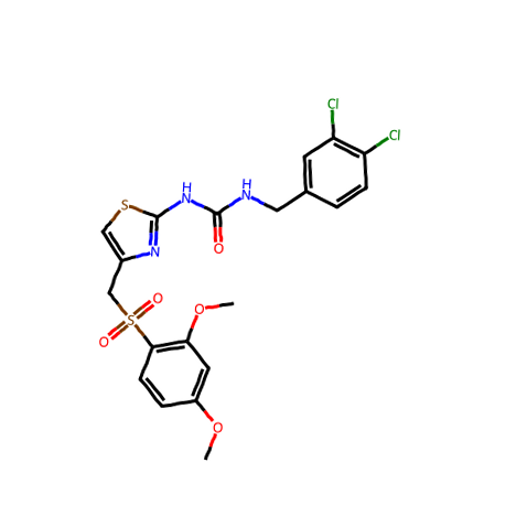 COc1ccc(S(=O)(=O)Cc2csc(NC(=O)NCc3ccc(Cl)c(Cl)c3)n2)c(OC)c1